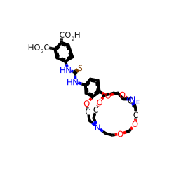 O=C(O)c1ccc(NC(=S)Nc2ccc3c(c2)OCCN2CCOCCOC/C(=N\CCO3)COCOCC2)cc1C(=O)O